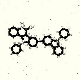 O=c1[nH]c2ccccc2c2c1c1cc(-c3ccc4c(c3)c3ccccc3n4-c3ccccc3)ccc1n2-c1ccccc1